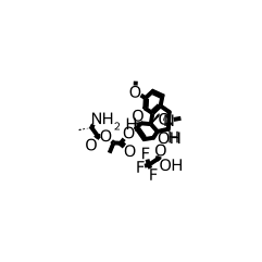 COc1ccc2c3c1O[C@H]1C(OC(=O)C(C)OC(=O)[C@H](C)N)=CC[C@@]4(O)[C@@H](C2)N(C)CC[C@]314.O=C(O)C(F)(F)F